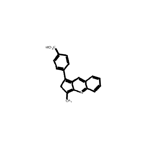 CC1=c2nc3ccccc3cc2=C(c2ccc(C(=O)O)cc2)C1